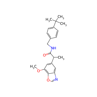 COc1cc(C(C)C(=O)NCc2ccc(C(C)(C)C)cc2)cc2ncoc12